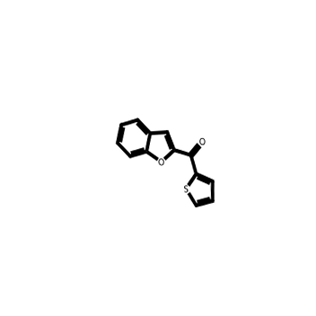 O=C(c1cc2ccccc2o1)c1cccs1